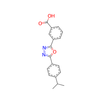 CC(C)c1ccc(-c2nnc(-c3cccc(C(=O)O)c3)o2)cc1